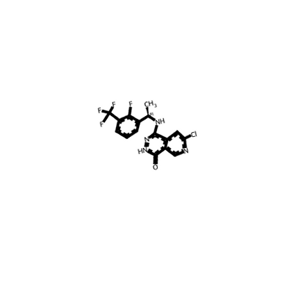 C[C@@H](Nc1n[nH]c(=O)c2cnc(Cl)cc12)c1cccc(C(F)(F)F)c1F